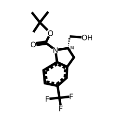 CC(C)(C)OC(=O)N1c2ccc(C(F)(F)F)cc2C[C@H]1CO